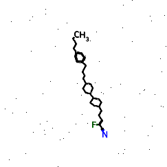 CCCCc1ccc(CCCCC2CCC(C3CCC(CCC=C(F)C#N)CC3)CC2)cc1